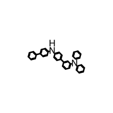 c1ccc(-c2ccc(Nc3ccc(-c4cccc(N(c5ccccc5)c5ccccc5)c4)cc3)cc2)cc1